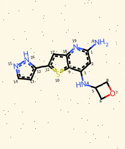 Nc1cc(NC2COC2)c2sc(-c3ccn[nH]3)cc2n1